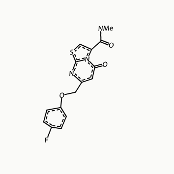 CNC(=O)c1csc2nc(COc3ccc(F)cc3)cc(=O)n12